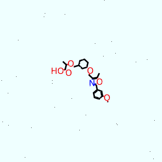 COc1cccc(-c2nc(COC3CCCC(COC(C)C(=O)O)C3)c(C)o2)c1